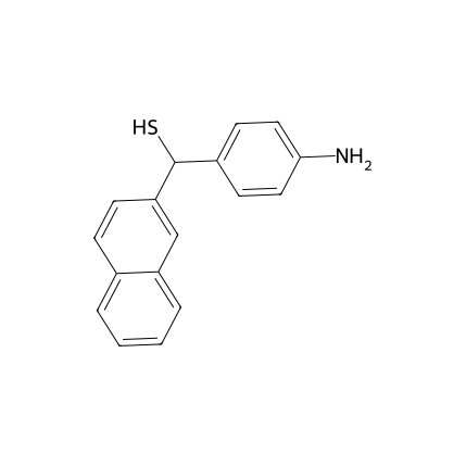 Nc1ccc(C(S)c2ccc3ccccc3c2)cc1